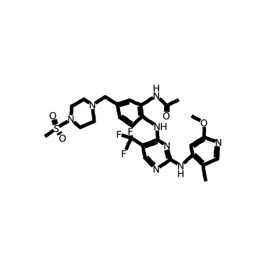 COc1cc(Nc2ncc(C(F)(F)F)c(Nc3ccc(CN4CCN(S(C)(=O)=O)CC4)cc3NC(C)=O)n2)c(C)cn1